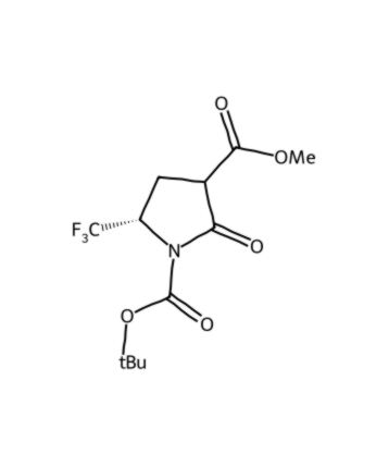 COC(=O)C1C[C@@H](C(F)(F)F)N(C(=O)OC(C)(C)C)C1=O